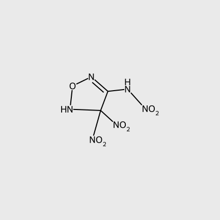 O=[N+]([O-])NC1=NONC1([N+](=O)[O-])[N+](=O)[O-]